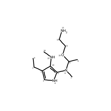 CCc1c[nH]c(N(C)C(C)OCCN)c1NC